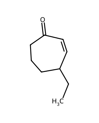 CCC1C=CC(=O)CCC1